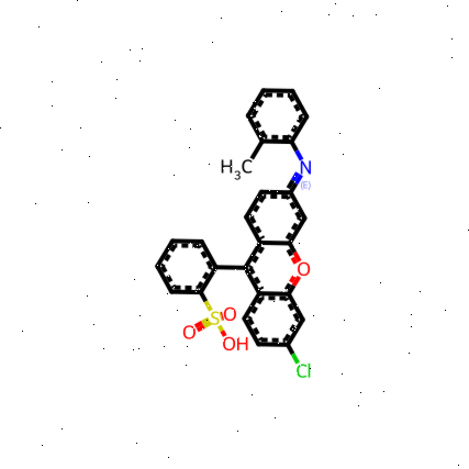 Cc1ccccc1/N=c1\ccc2c(-c3ccccc3S(=O)(=O)O)c3ccc(Cl)cc3oc-2c1